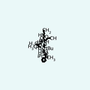 C#CCCC(NC(=O)[C@@H]1[C@@H]2[C@H](CN1C(=O)[C@@H](NC(=O)N[C@H](C(=O)N(C)c1ccccc1)C(C)C)C(C)(C)C)C2(C)C)C(=O)C(=O)NCC=C